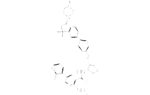 CN1CCN(C2CC(C)(C)c3cc(-c4ccc(CO[C@H]5CCC[C@@H]5NC(=O)c5cc(-c6cccnc6F)cnc5N)cc4)ccc32)CC1